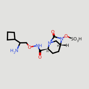 NC(CONC(=O)[C@@H]1CC[C@@H]2CN1C(=O)N2OS(=O)(=O)O)C1CCC1